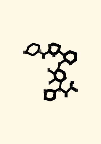 O=[SH](=O)N[C@@H](c1cccnc1)c1ccc(Oc2ncccc2-c2ccnc(N[C@H]3CCCNC3)n2)c(F)c1F